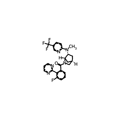 CN(c1ccc(C(F)(F)F)cn1)[C@@H]1C[C@@H]2C[C@@H]1N(C(=O)c1cccc(F)c1-c1ncccn1)C2